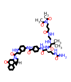 CC(=O)N(CCCC(=O)NCCN[C@H](C(=O)N[C@@H](CCCNC(N)=O)C(=O)Nc1ccc(C(=O)Nc2ccc3[nH]c(C(=O)N4C[C@H]5CC56C4=CC(=O)c4ccccc46)cc3c2)cc1)C(C)C)C(C)=O